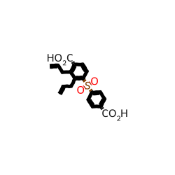 C=CCc1c(C(=O)O)ccc(S(=O)(=O)c2ccc(C(=O)O)cc2)c1CC=C